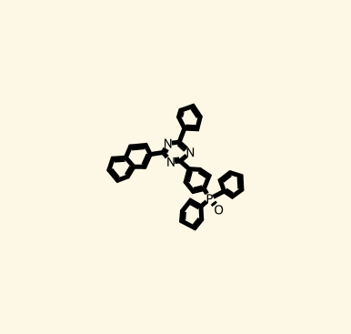 O=P(c1ccccc1)(c1ccccc1)c1ccc(-c2nc(-c3ccccc3)nc(-c3ccc4ccccc4c3)n2)cc1